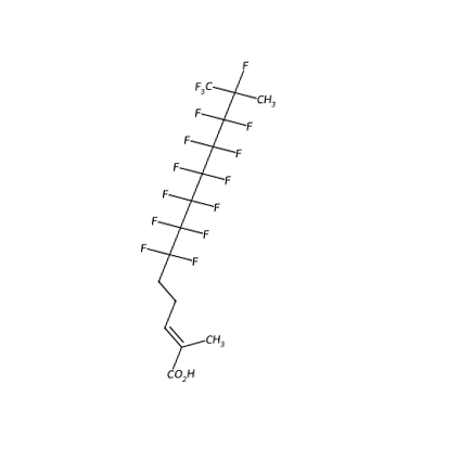 CC(=CCCC(F)(F)C(F)(F)C(F)(F)C(F)(F)C(F)(F)C(F)(F)C(C)(F)C(F)(F)F)C(=O)O